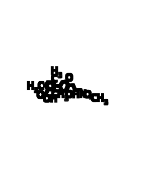 CCON=CCCC1=C(O)CC(c2c(C)cc(C)c(C(=O)O)c2C)CC1=O